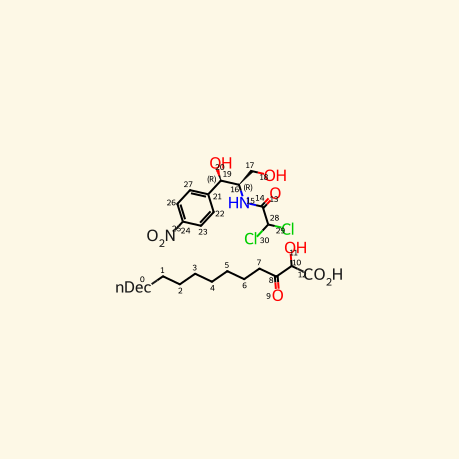 CCCCCCCCCCCCCCCCCC(=O)C(O)C(=O)O.O=C(N[C@H](CO)[C@H](O)c1ccc([N+](=O)[O-])cc1)C(Cl)Cl